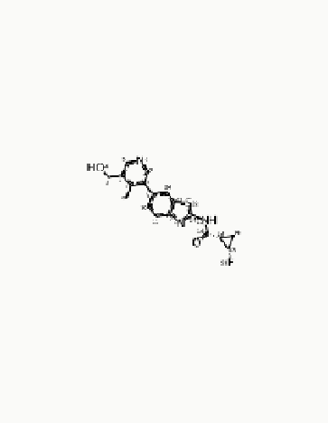 Cc1c(CO)cncc1-c1ccc2nc(NC(=O)[C@@H]3C[C@@H]3F)sc2c1